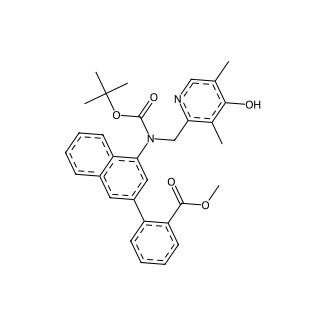 COC(=O)c1ccccc1-c1cc(N(Cc2ncc(C)c(O)c2C)C(=O)OC(C)(C)C)c2ccccc2c1